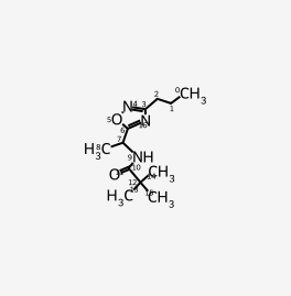 CCCc1noc(C(C)NC(=O)C(C)(C)C)n1